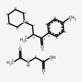 CC(=O)NCC(=O)O.Cc1ccc(C(=O)C(C)CN2CCCCC2)cc1